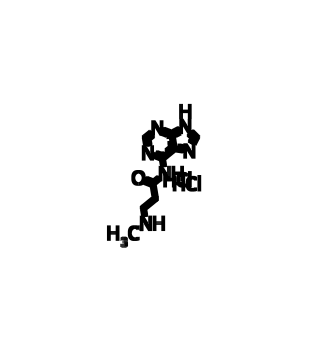 CNCCC(=O)Nc1ncnc2[nH]cnc12.Cl.Cl